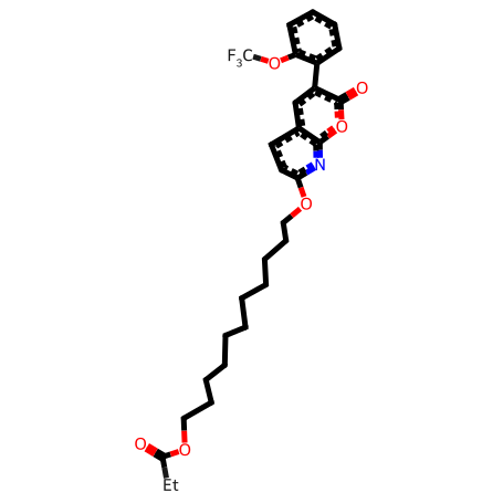 CCC(=O)OCCCCCCCCCCCOc1ccc2cc(-c3ccccc3OC(F)(F)F)c(=O)oc2n1